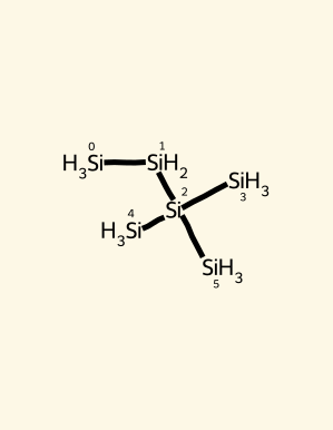 [SiH3][SiH2][Si]([SiH3])([SiH3])[SiH3]